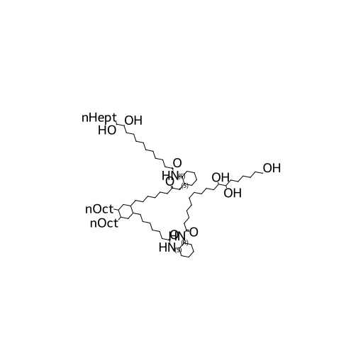 CCCCCCCCC1CC(CCCCCCC(=O)C[C@@H]2CCCC[C@@H]2NC(=O)CCCCCCCCCC(O)C(O)CCCCCCC)C(CCCCCCC(=O)N[C@H]2CCCC[C@H]2NC(=O)CCCCCCCCCC(O)C(O)CCCCCCO)CC1CCCCCCCC